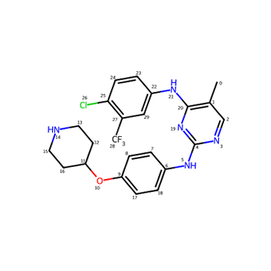 Cc1cnc(Nc2ccc(OC3CCNCC3)cc2)nc1Nc1ccc(Cl)c(C(F)(F)F)c1